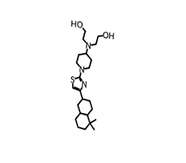 CC1(C)CCCC2CC(c3csc(N4CCC(N(CCO)CCO)CC4)n3)CCC21